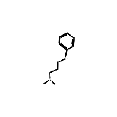 CN(C)CCCNc1cc[c]cc1